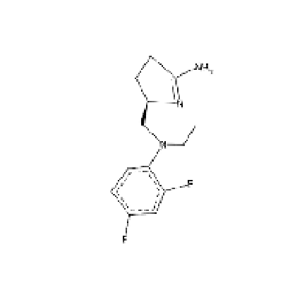 CCN(C[C@H]1CCC(N)=N1)c1ccc(F)cc1F